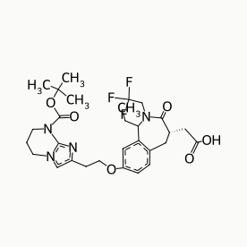 CCC1c2cc(OCCc3cn4c(n3)N(C(=O)OC(C)(C)C)CCC4)ccc2C[C@@H](CC(=O)O)C(=O)N1CC(F)(F)F